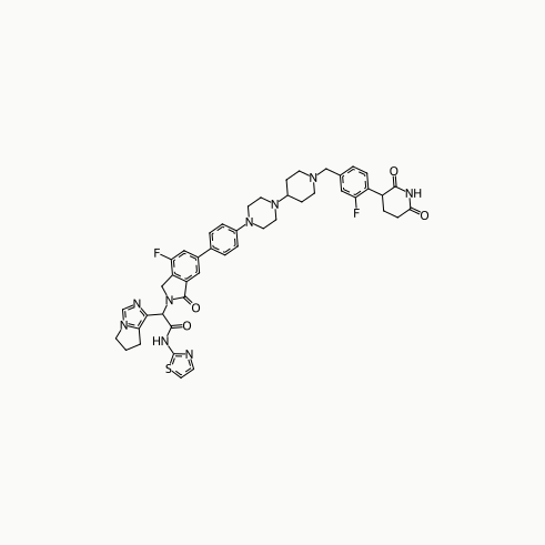 O=C1CCC(c2ccc(CN3CCC(N4CCN(c5ccc(-c6cc(F)c7c(c6)C(=O)N(C(C(=O)Nc6nccs6)c6ncn8c6CCC8)C7)cc5)CC4)CC3)cc2F)C(=O)N1